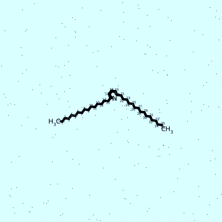 CCCCCCCCCCCCCCCCc1cccc(CCCCCCCCCCCCCCCC)n1